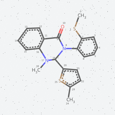 CSc1ccccc1N1C(=O)c2ccccc2N(C)C1c1ccc(C)s1